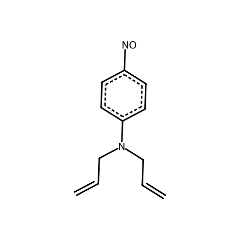 C=CCN(CC=C)c1ccc(N=O)cc1